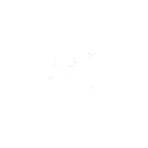 CCCC(N)N.O=S(=O)(O)O